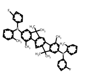 Cc1ccccc1N(c1cccc(F)c1)c1cc(C)c2c(c1)C(C)(C)c1cc3c(cc1-2)C(C)(C)c1cc(N(c2cccc(F)c2)c2ccccc2C)cc(C)c1-3